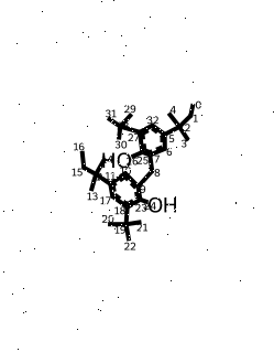 CCC(C)(C)c1cc(Cc2cc(C(C)(C)CC)cc(C(C)(C)C)c2O)c(O)c(C(C)(C)C)c1